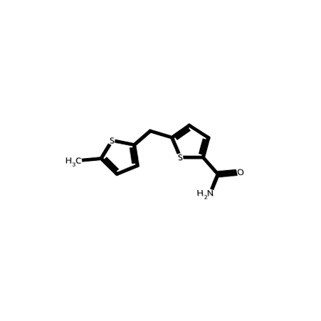 Cc1ccc(Cc2ccc(C(N)=O)s2)s1